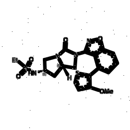 CCS(=O)(=O)N[C@H]1C[C@H]2CN(c3noc4cccc(-c5sccc5OC)c34)C(=O)N2C1